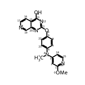 COc1cc(N(C)c2ccc(Oc3nc(O)c4ccncc4n3)cc2)ccn1